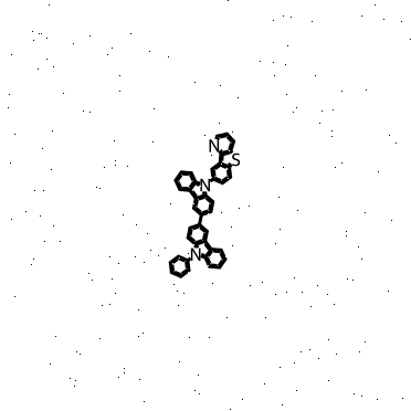 c1ccc(-n2c3ccccc3c3cc(-c4ccc5c(c4)c4ccccc4n5-c4ccc5sc6cccnc6c5c4)ccc32)cc1